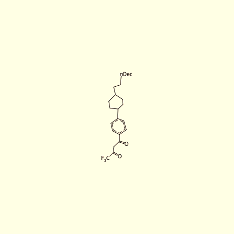 CCCCCCCCCCCCC1CCC(c2ccc(C(=O)CC(=O)C(F)(F)F)cc2)CC1